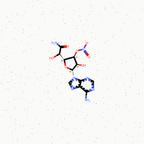 NC(=O)C(O)[C@H]1O[C@@H](n2cnc3c(N)ncnc32)[C@H](O)[C@@H]1O[N+](=O)[O-]